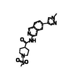 Cn1cc(-c2ccc3cnc(NC(=O)C4CCN(S(C)(=O)=O)CC4)cc3c2)cn1